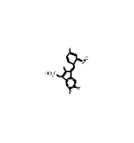 CC1=CC(=S=O)C(C=C2C(C)=C(CC(=O)O)c3cc(F)c(F)cc32)C=C1